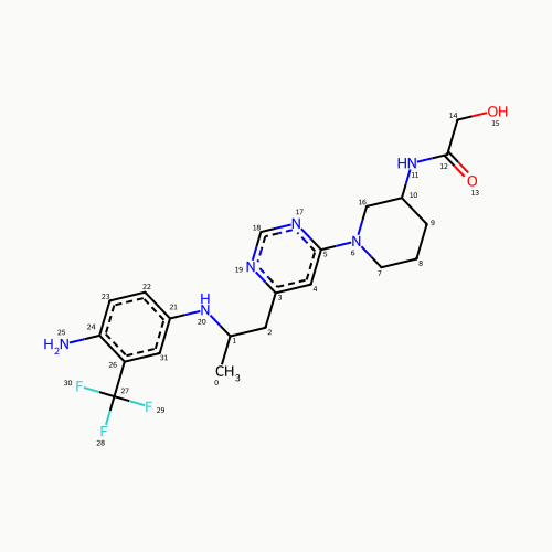 CC(Cc1cc(N2CCCC(NC(=O)CO)C2)ncn1)Nc1ccc(N)c(C(F)(F)F)c1